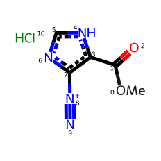 COC(=O)c1[nH]cnc1[N+]#N.Cl